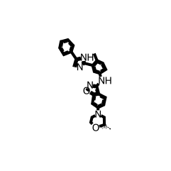 Cc1ccc(Nc2noc3cc(N4CCO[C@@H](C)C4)ccc23)cc1-c1ncc(-c2ccccc2)[nH]1